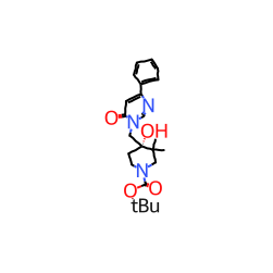 CC(C)(C)OC(=O)N1CC[C@@](O)(Cn2cnc(-c3ccccc3)cc2=O)C(C)(C)C1